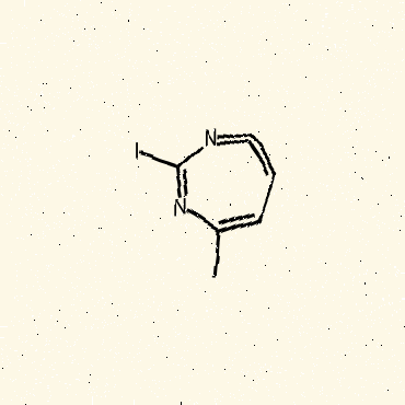 CC1=CC=C=NC(I)=N1